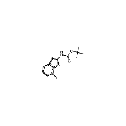 CC(C)(C)OC(=O)Nc1nc2cccc(F)c2s1